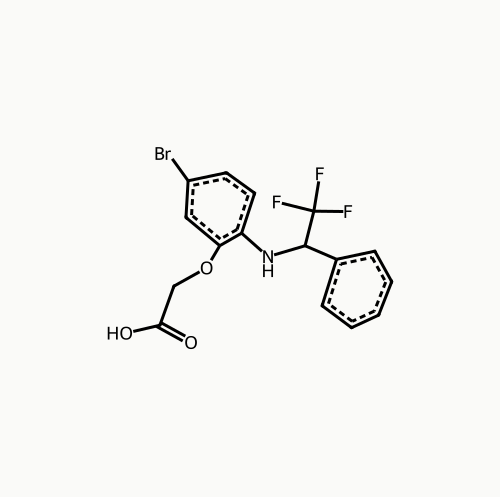 O=C(O)COc1cc(Br)ccc1NC(c1ccccc1)C(F)(F)F